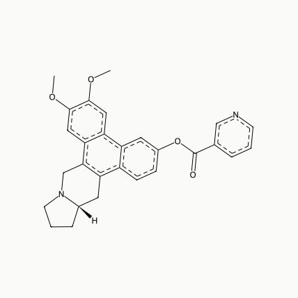 COc1cc2c3c(c4ccc(OC(=O)c5cccnc5)cc4c2cc1OC)C[C@@H]1CCCN1C3